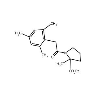 CCOC(=O)C1(C)CCCN1C(=O)Cc1c(C)cc(C)cc1C